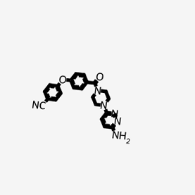 N#Cc1ccc(Oc2ccc(C(=O)N3CCN(c4ccc(N)nn4)CC3)cc2)cc1